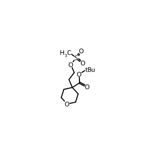 CC(C)(C)OC(=O)C1(CCOS(C)(=O)=O)CCOCC1